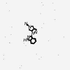 N#CN1Cc2cnn(-c3n[nH]c4ccccc34)c2C1